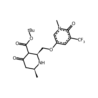 C[C@H]1CC(=O)C(C(=O)OC(C)(C)C)[C@@H](COc2cc(C(F)(F)F)c(=O)n(C)c2)N1